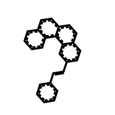 C(=Cc1ccc2ccc3ccc4ccccc4c3c2c1)c1ccccc1